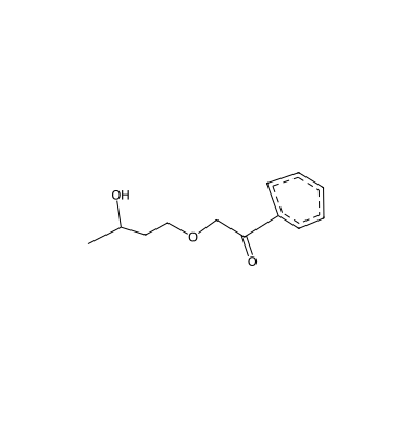 CC(O)CCOCC(=O)c1ccccc1